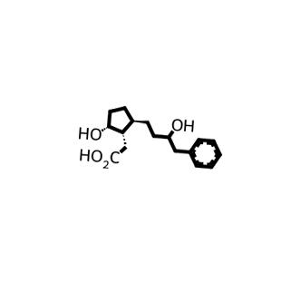 O=C(O)C[C@H]1[C@H](CCC(O)Cc2ccccc2)CC[C@H]1O